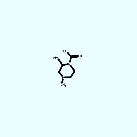 C=C(C)N1CCN(C)CC1CCC